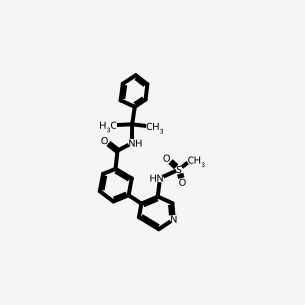 CC(C)(NC(=O)c1cccc(-c2ccncc2NS(C)(=O)=O)c1)c1ccccc1